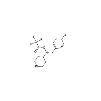 COc1ccc(CN(OC(=O)C(F)(F)F)C2CCNCC2)cc1